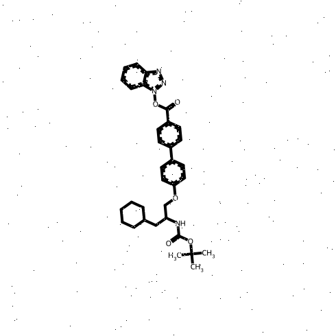 CC(C)(C)OC(=O)NC(COc1ccc(-c2ccc(C(=O)On3nnc4ccccc43)cc2)cc1)CC1CCCCC1